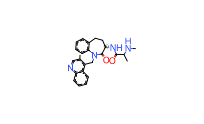 CNC(C)C(=O)N[C@H]1CCc2ccccc2N(Cc2c(C)cnc3ccccc23)C1=O